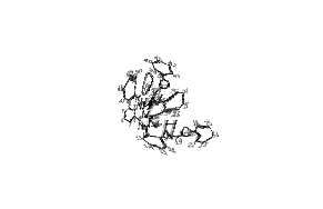 O=C(Nc1ccccc1C1N=C(c2ccccc2NCOc2ccccc2)N=C(c2ccccc2NCOc2ccccc2)N1)c1ccccc1